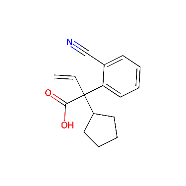 C=CC(C(=O)O)(c1ccccc1C#N)C1CCCC1